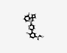 CN(C=O)c1ccc(F)c(-c2ccc(NCC3(c4ncccc4F)CCC3)nn2)c1